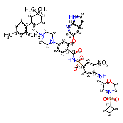 Cc1cc(C(F)(F)F)ccc1C1=C(CN2CCN(c3ccc(C(=O)NS(=O)(=O)c4ccc(NCC5CN(S(=O)(=O)C6CCC6)CCO5)c([N+](=O)[O-])c4)c(Oc4cnc5[nH]ccc5c4)c3)CC2)CCC(C)(C)C1